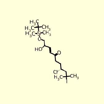 CC(C)(I)C[C@H](Cl)CCC(=O)/C=C/C(O)CO[Si](C)(C)C(C)(C)C